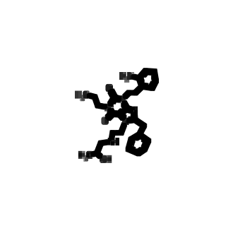 CCCn1c(=O)c2c(nc(Cc3ccccc3)n2CCNCC(C)O)n(CCc2ccccc2N)c1=O